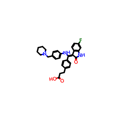 O=C(O)CCc1ccc(C(Nc2ccc(CN3CCCCC3)cc2)=C2C(=O)Nc3cc(F)ccc32)cc1